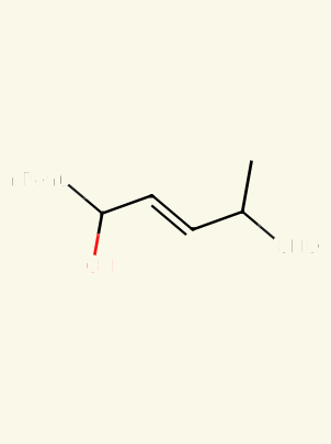 CCCCCC(O)/C=C/C(C)C=O